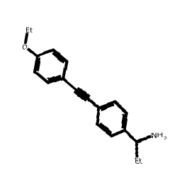 CCOc1ccc(C#Cc2ccc(C(N)CC)cc2)cc1